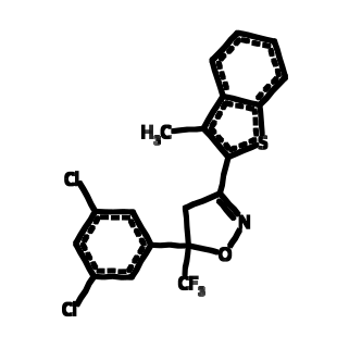 Cc1c(C2=NOC(c3cc(Cl)cc(Cl)c3)(C(F)(F)F)C2)sc2ccccc12